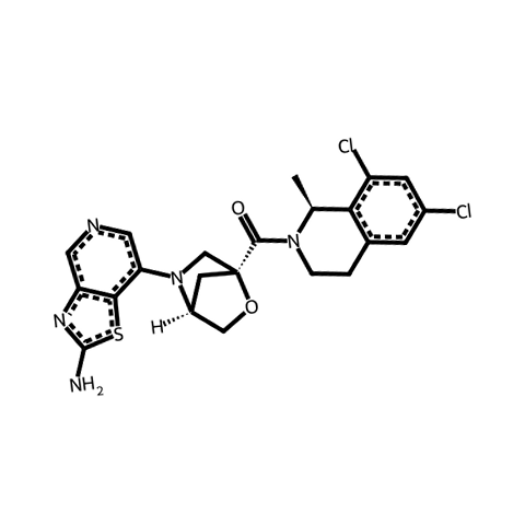 C[C@H]1c2c(Cl)cc(Cl)cc2CCN1C(=O)[C@@]12C[C@@H](CO1)N(c1cncc3nc(N)sc13)C2